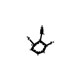 N#Cc1c(F)c[c]cc1F